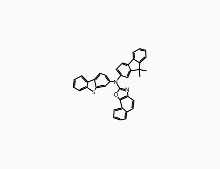 CC1(C)c2ccccc2-c2ccc(N(c3ccc4c(c3)sc3ccccc34)c3nc4ccc5ccccc5c4o3)cc21